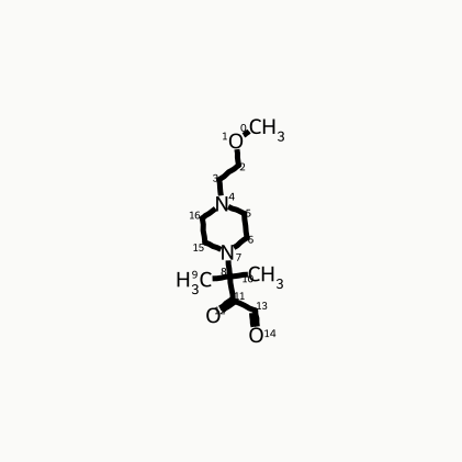 COCCN1CCN(C(C)(C)C(=O)C=O)CC1